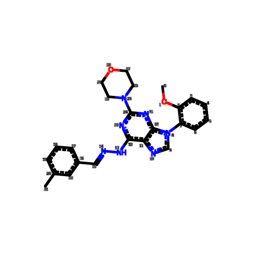 COc1ccccc1-n1cnc2c(NN=Cc3cccc(C)c3)nc(N3CCOCC3)nc21